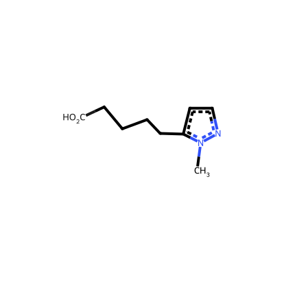 Cn1nccc1CCCCC(=O)O